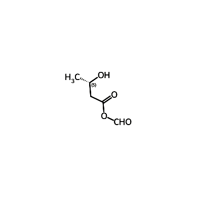 C[C@H](O)CC(=O)OC=O